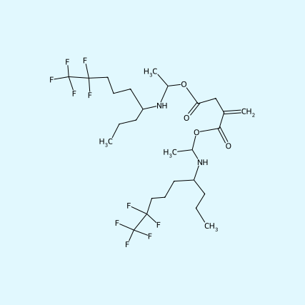 C=C(CC(=O)OC(C)NC(CCC)CCCC(F)(F)C(F)(F)F)C(=O)OC(C)NC(CCC)CCCC(F)(F)C(F)(F)F